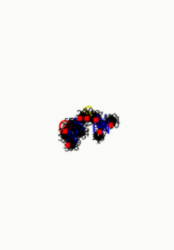 C1=CCCC(c2nc(-c3ccccc3)nc(-c3ccc4sc5ccc(-n6c7c8c9c(oc%10ccc%11c%12ccccc%12n(c%12cccc6c8%12)c%11c%109)CC7)cc5c4c3)n2)=C1